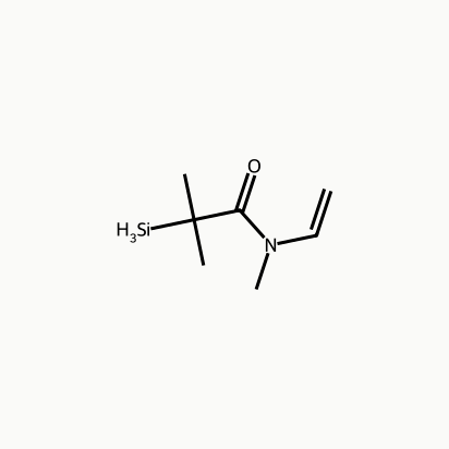 C=CN(C)C(=O)C(C)(C)[SiH3]